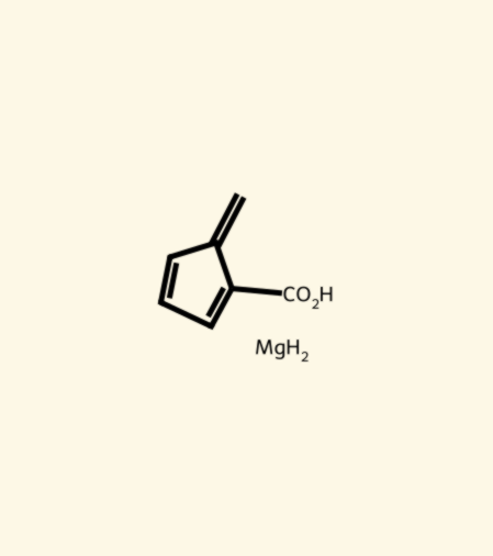 C=C1C=CC=C1C(=O)O.[MgH2]